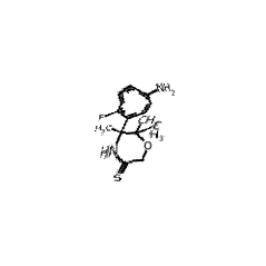 CC1(C)OCC(=S)N[C@]1(C)c1cc(N)ccc1F